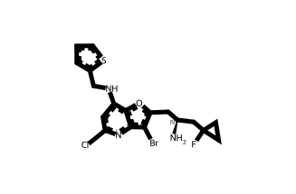 N[C@@H](Cc1oc2c(NCc3cccs3)cc(Cl)nc2c1Br)CC1(F)CC1